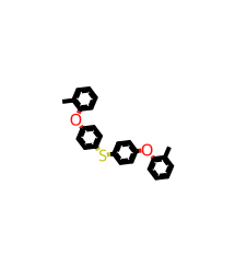 Cc1ccccc1Oc1ccc(Sc2ccc(Oc3ccccc3C)cc2)cc1